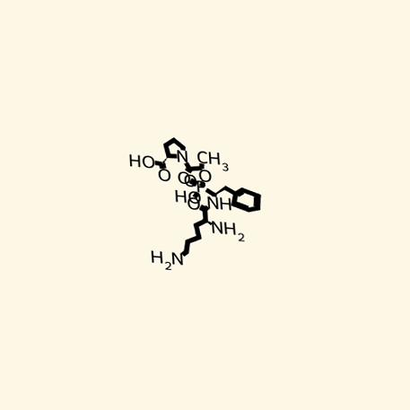 CC(OP(=O)(O)[C@@H](Cc1ccccc1)NC(=O)[C@@H](N)CCCCN)C(=O)N1CCC[C@H]1C(=O)O